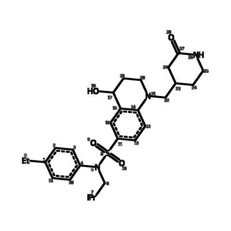 CCc1ccc(N(CC(C)C)S(=O)(=O)c2ccc3c(c2)C(O)CCN3CC2CCNC(=O)C2)cc1